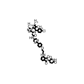 Cc1sc2c(c1C)C(c1ccc(Cl)cc1)=N[C@@H](CC(=O)Nc1cnc(-c3ccc(OCCCNc4cccc5c4C(=O)N(C4CCC(=O)NC4=O)C5=O)cc3)nc1)c1nnc(C)n1-2